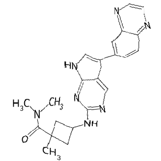 CN(C)C(=O)C1(C)CC(Nc2ncc3c(-c4ccc5nccnc5c4)c[nH]c3n2)C1